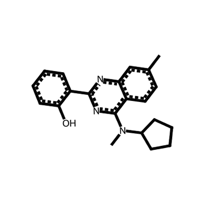 Cc1ccc2c(N(C)C3CCCC3)nc(-c3ccccc3O)nc2c1